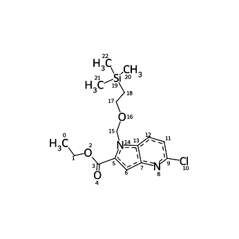 CCOC(=O)c1cc2nc(Cl)ccc2n1COCC[Si](C)(C)C